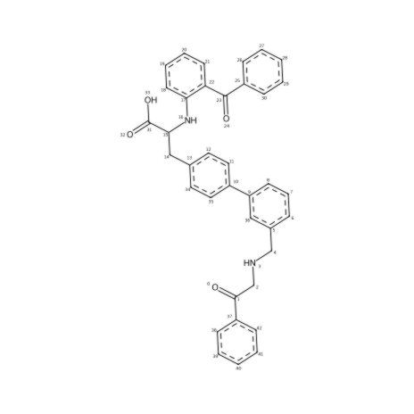 O=C(CNCc1cccc(-c2ccc(CC(Nc3ccccc3C(=O)c3ccccc3)C(=O)O)cc2)c1)c1ccccc1